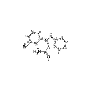 NC(=O)c1c2ncccc2nn1-c1cccc(Br)c1